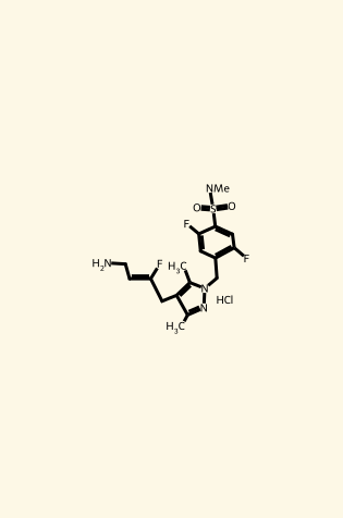 CNS(=O)(=O)c1cc(F)c(Cn2nc(C)c(CC(F)=CCN)c2C)cc1F.Cl